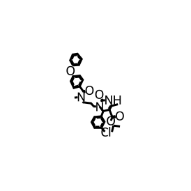 CC1=C(C(=O)OC(C)C)C(c2cccc(Cl)c2)N(CCCN(C)C(=O)c2ccc(Oc3ccccc3)cc2)C(=O)N1